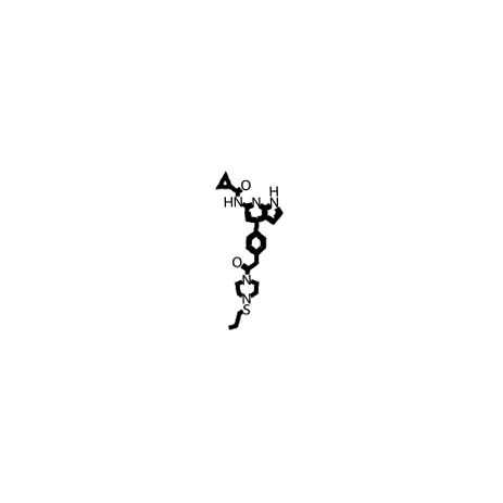 CCCSN1CCN(C(=O)Cc2ccc(-c3cc(NC(=O)C4CC4)nc4[nH]ccc34)cc2)CC1